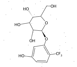 OCC1O[C@@H](Oc2cc(O)ccc2C(F)(F)F)C(O)C(O)[C@@H]1O